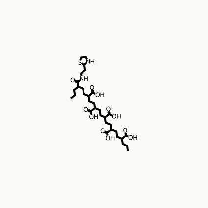 CCCC(CCC(CCC(CCC(CCC(CCC(CCC)C(=O)NCCC1NCCS1)C(=O)O)C(=O)O)C(=O)O)C(=O)O)C(=O)O